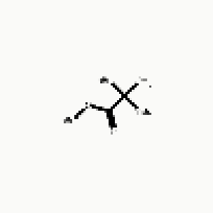 CCCCOC(=O)C(P)(CCCC)CCCC